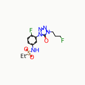 CCS(=O)(=O)Nc1ccc(F)c(-n2nnn(CCCF)c2=O)c1